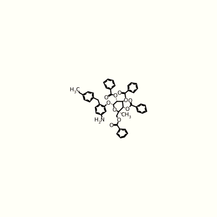 CCc1ccc(Cc2ccc(N)cc2O[C@H]2O[C@](C)(COC(=O)c3ccccc3)[C@@H](OC(=O)c3ccccc3)[C@H](OC(=O)c3ccccc3)[C@H]2OC(=O)c2ccccc2)cc1